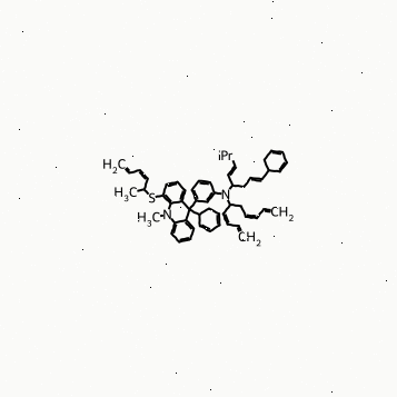 C=C/C=C\CC(/C=C\C=C)N(c1cccc(C2(C3C=CC=CC3)c3ccccc3N(C)c3c(SC(C)/C=C\C=C)cccc32)c1)C(/C=C/C(C)C)C/C=C/C1C=CC=CC1